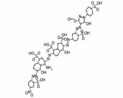 Nc1c(N=Nc2ccc3c(O)c(N=Nc4ccc(S(=O)(=O)O)c(/N=N/c5c(OC=O)nn(-c6ccc(S(=O)(=O)O)cc6)c5O)c4)c(S(=O)(=O)O)cc3c2S(=O)(=O)O)cc(S(=O)(=O)O)c2ccc(N=Nc3ccc([N+](=O)[O-])cc3S(=O)(=O)O)c(O)c12